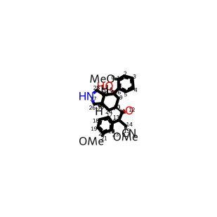 COc1ccccc1[C@]1(O)C[C@@H](C(=O)C(CC#N)c2cccc(OC)c2OC)C[C@H]2CNC[C@H]21